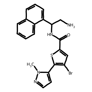 Cn1nccc1-c1sc(C(=O)NC(CN)c2cccc3ccccc23)cc1Br